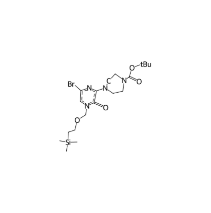 CC(C)(C)OC(=O)N1CCN(c2nc(Br)cn(COCC[Si](C)(C)C)c2=O)CC1